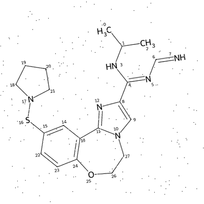 CC(C)N/C(=N\C=N)c1cn2c(n1)-c1cc(SN3CCCC3)ccc1OCC2